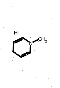 CN1C=CCC=C1.I